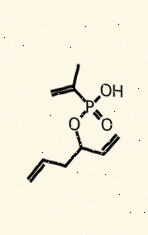 C=CCC(C=C)OP(=O)(O)C(=C)C